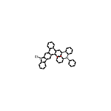 CCn1c2ccccc2c2cc3c4ccc(-c5ccccc5N(c5ccccc5)c5ccccc5)cc4c4ccccc4c3cc21